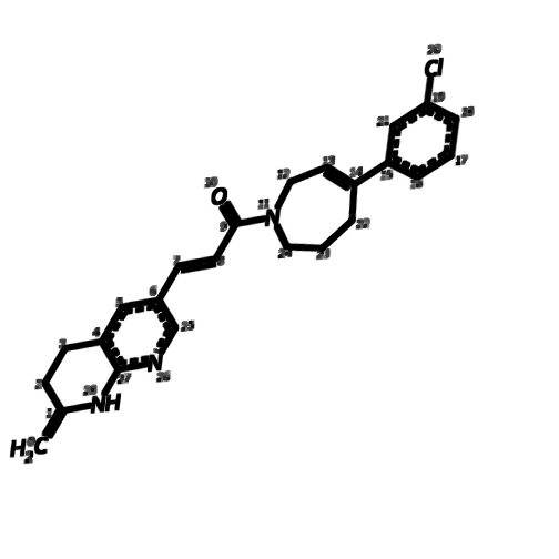 C=C1CCc2cc(/C=C/C(=O)N3CC=C(c4cccc(Cl)c4)CCC3)cnc2N1